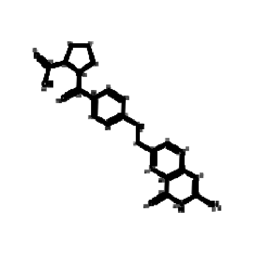 Nc1nc2ncc(C[Se]c3ccc(C(=O)N4CCCC4C(=O)O)cc3)nc2c(=O)[nH]1